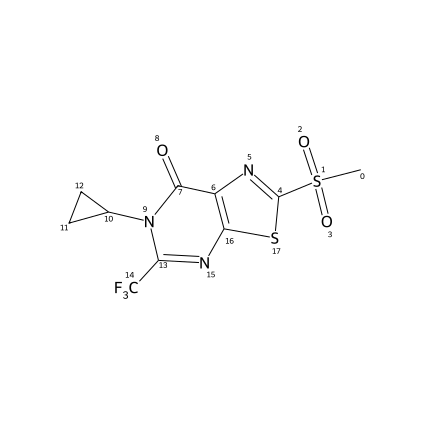 CS(=O)(=O)c1nc2c(=O)n(C3CC3)c(C(F)(F)F)nc2s1